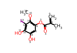 C=C(C)C(=O)Oc1cc(O)c(O)c(I)c1OC